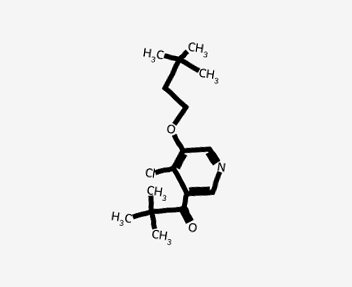 CC(C)(C)CCOc1cncc(C(=O)C(C)(C)C)c1Cl